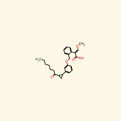 CCCCCCC(=O)C1CC1c1cccc(OCc2ccccc2/C(=C\OC)C(=O)O)c1